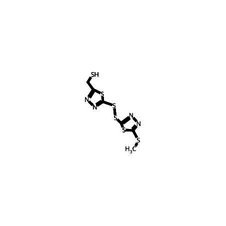 CSc1nnc(SSc2nnc(CS)s2)s1